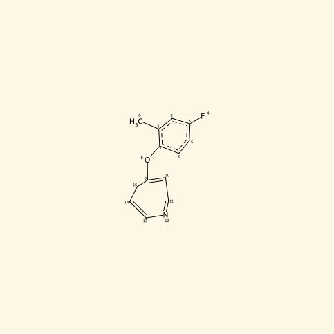 Cc1cc(F)ccc1OC1=CC=NC=CC1